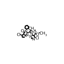 CCOC(=O)c1c(Cl)ncnc1N1C[C@H](C)C1c1nn2ccc(Cl)c2c(=O)n1-c1ccccc1